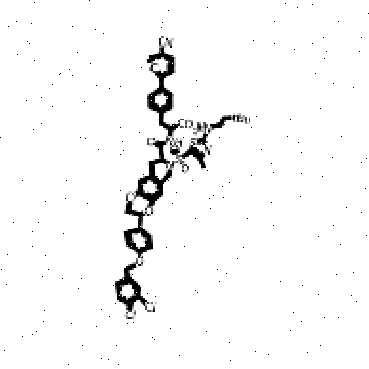 Cc1nc(NCCC(C)(C)C)sc1S(=O)(=O)N1Cc2cc3c(cc2CC1C(=O)NC(Cc1ccc(-c2ccc(C#N)cc2)cc1)C(=O)O)OCC(c1ccc(OCc2ccc(Cl)c(Cl)c2)cc1)O3